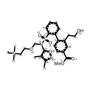 COC(=O)c1ccc(-c2ccccc2S(=O)(=O)N(COCC[Si](C)(C)C)c2onc(C)c2C)c(CCO)c1